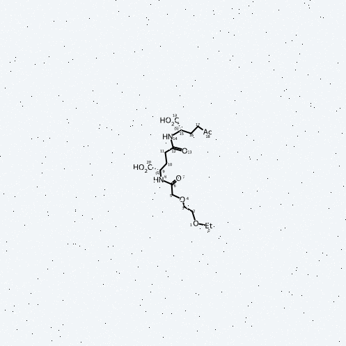 CCOCCOCC(=O)N[C@@H](CCC(=O)N[C@@H](CCC(C)=O)C(=O)O)C(=O)O